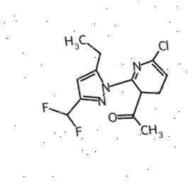 CCc1cc(C(F)F)nn1C1=NC(Cl)=CCC1C(C)=O